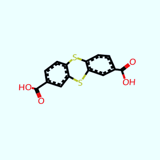 O=C(O)c1ccc2c(c1)Sc1cc(C(=O)O)ccc1S2